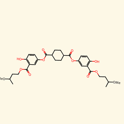 COC(C)CCOC(=O)c1cc(OC(=O)C2CCC(C(=O)Oc3ccc(O)c(C(=O)OCCC(C)OC)c3)CC2)ccc1O